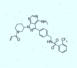 C=CC(=O)N1CCCC(n2nc(-c3ccc(CNS(=O)(=O)c4ccccc4C(F)(F)F)cc3)c3c(N)ncnc32)C1